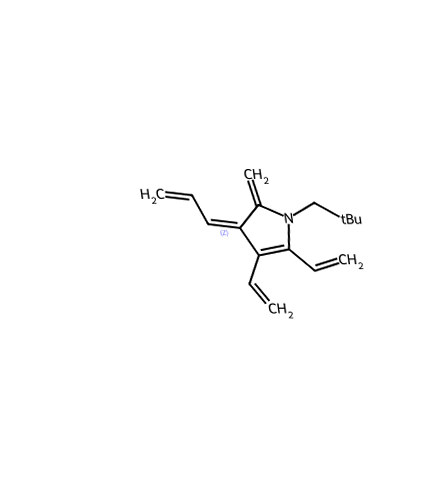 C=C/C=c1/c(C=C)c(C=C)n(CC(C)(C)C)c1=C